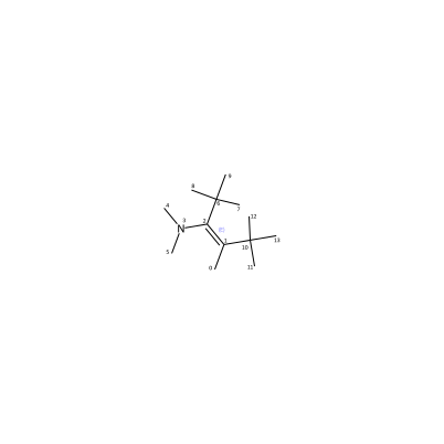 C/C(=C(\N(C)C)C(C)(C)C)C(C)(C)C